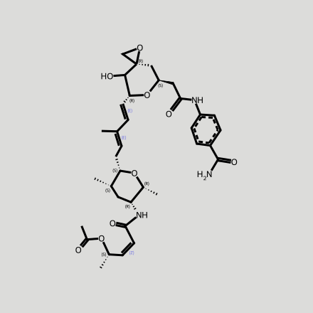 CC(=O)O[C@@H](C)/C=C\C(=O)N[C@@H]1C[C@H](C)[C@H](C/C=C(C)/C=C/[C@H]2O[C@H](CC(=O)Nc3ccc(C(N)=O)cc3)C[C@@]3(CO3)C2O)O[C@@H]1C